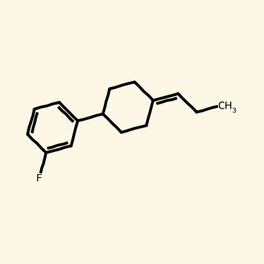 CCC=C1CCC(c2cccc(F)c2)CC1